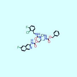 CN(C(=O)NCc1cccc(F)c1Cl)[C@H](CNC(=O)OCc1ccccc1)COC(=O)Nc1cc2cc(F)ccc2cn1